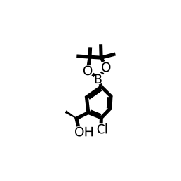 C[C@H](O)c1cc(B2OC(C)(C)C(C)(C)O2)ccc1Cl